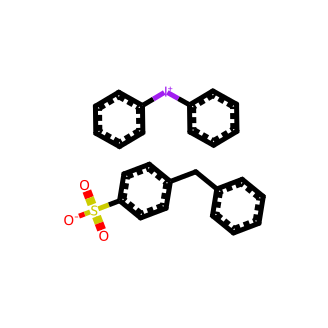 O=S(=O)([O-])c1ccc(Cc2ccccc2)cc1.c1ccc([I+]c2ccccc2)cc1